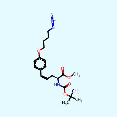 COC(=O)[C@H](C/C=C\c1ccc(OCCCCN=[N+]=[N-])cc1)NC(=O)OC(C)(C)C